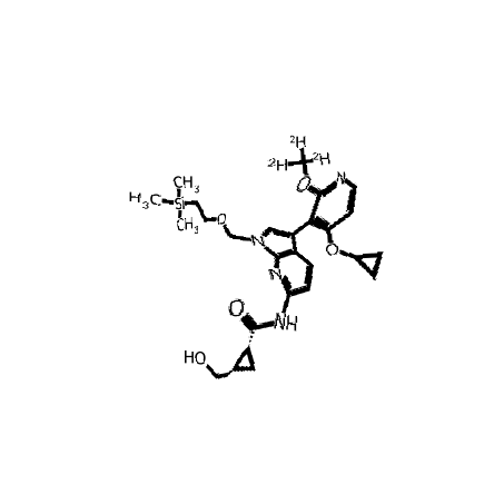 [2H]C([2H])([2H])Oc1nccc(OC2CC2)c1-c1cn(COCC[Si](C)(C)C)c2nc(NC(=O)[C@@H]3C[C@H]3CO)ccc12